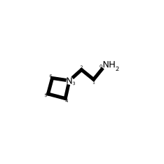 NCCN1CCC1